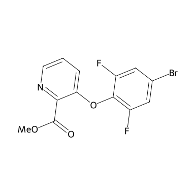 COC(=O)c1ncccc1Oc1c(F)cc(Br)cc1F